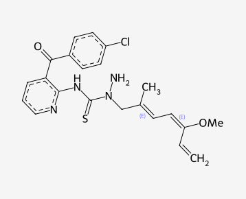 C=C/C(=C\C=C(/C)CN(N)C(=S)Nc1ncccc1C(=O)c1ccc(Cl)cc1)OC